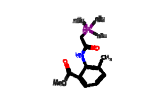 CCCC[PH](CCCC)(CCCC)CC(=O)Nc1c(C)cccc1C(=O)OC